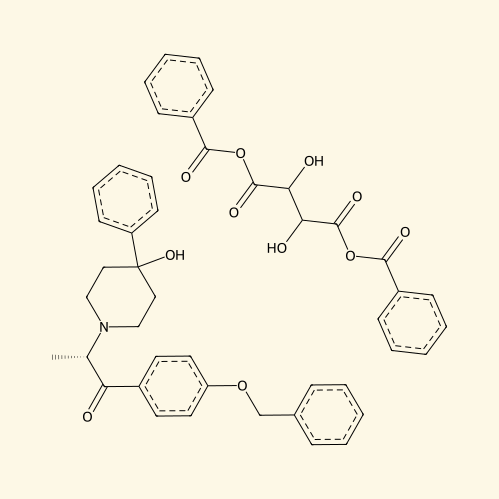 C[C@@H](C(=O)c1ccc(OCc2ccccc2)cc1)N1CCC(O)(c2ccccc2)CC1.O=C(OC(=O)C(O)C(O)C(=O)OC(=O)c1ccccc1)c1ccccc1